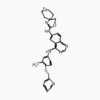 Cc1cc(Nc2ncnc3ccc(NC4=NC5(CCOCC5)CO4)cc23)ccc1OCc1ccccn1